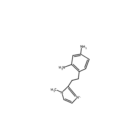 CN1C=C[N+]=C1CCc1ccc(N)cc1N